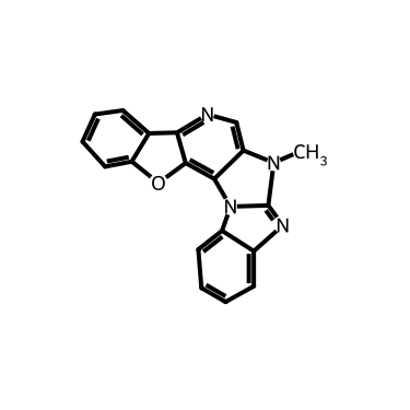 Cn1c2cnc3c4ccccc4oc3c2n2c3ccccc3nc12